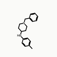 Cc1ccc(NC2CCN(Cc3ccccc3)CC2)cc1